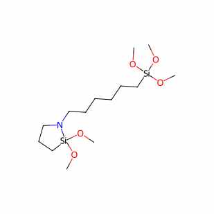 CO[Si](CCCCCCN1CCC[Si]1(OC)OC)(OC)OC